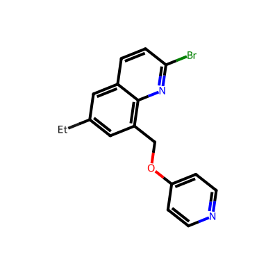 CCc1cc(COc2ccncc2)c2nc(Br)ccc2c1